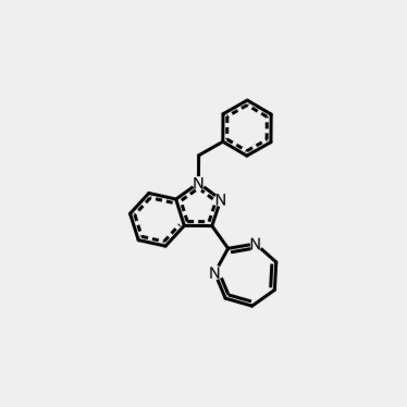 C1=CC=CN=C(c2nn(Cc3ccccc3)c3ccccc23)N=1